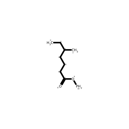 CCC(C)CCCC(=O)OP